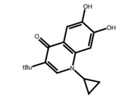 CC(C)(C)c1cn(C2CC2)c2cc(O)c(O)cc2c1=O